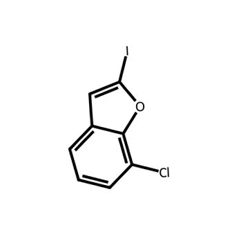 Clc1cccc2cc(I)oc12